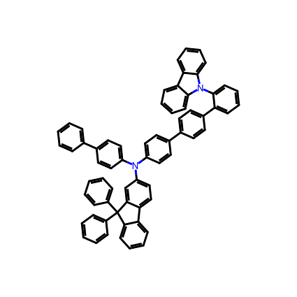 c1ccc(-c2ccc(N(c3ccc(-c4ccc(-c5ccccc5-n5c6ccccc6c6ccccc65)cc4)cc3)c3ccc4c(c3)C(c3ccccc3)(c3ccccc3)c3ccccc3-4)cc2)cc1